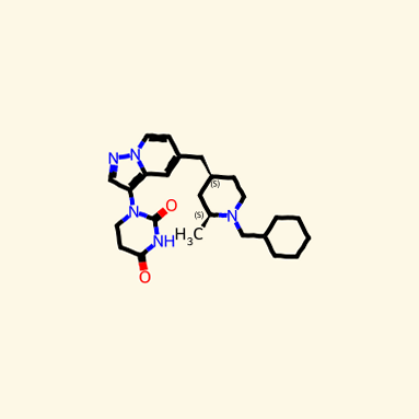 C[C@H]1C[C@@H](Cc2ccn3ncc(N4CCC(=O)NC4=O)c3c2)CCN1CC1CCCCC1